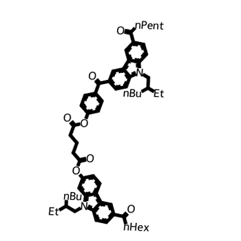 CCCCCCC(=O)c1ccc2c(c1)c1ccc(OC(=O)CCCC(=O)Oc3ccc(C(=O)c4ccc5c(c4)c4cc(C(=O)CCCCC)ccc4n5CC(CC)CCCC)cc3)cc1n2CC(CC)CCCC